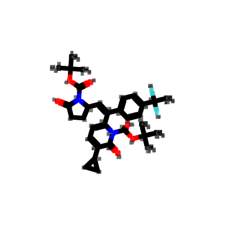 CC(C)(C)OC(=O)N1C(=O)CCC1/C=C(/c1ccc(C(C)(F)F)cc1)c1ccc(C2CC2)c(=O)n1C(=O)OC(C)(C)C